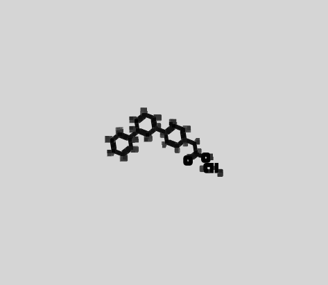 COC(=O)Cc1ccc(-c2cccc(-c3ccccc3)c2)cc1